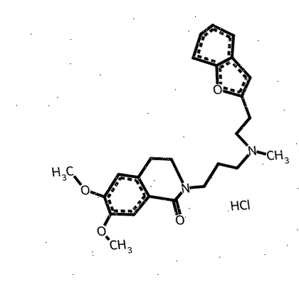 COc1cc2c(cc1OC)C(=O)N(CCCN(C)CCc1cc3ccccc3o1)CC2.Cl